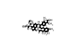 CCOC(=O)[C@H](CC(F)F)c1ccc(N)cc1CCC(=O)C(Nc1ccc2c(N(C(=O)OC(C)(C)C)C(=O)OC(C)(C)C)ncc(F)c2c1)c1ccc([C@@H](C)CO)c(C)c1